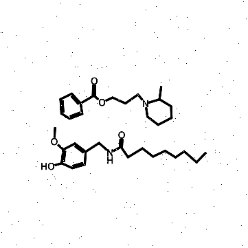 CC1CCCCN1CCCOC(=O)c1ccccc1.CCCCCCCCC(=O)NCc1ccc(O)c(OC)c1